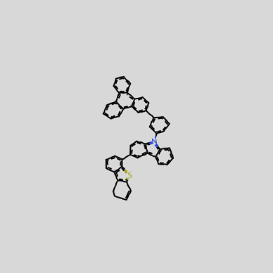 C1=Cc2sc3c(-c4ccc5c(c4)c4ccccc4n5-c4cccc(-c5ccc6c7ccccc7c7ccccc7c6c5)c4)cccc3c2CC1